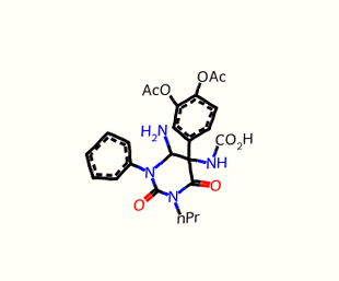 CCCN1C(=O)N(c2ccccc2)C(N)C(NC(=O)O)(c2ccc(OC(C)=O)c(OC(C)=O)c2)C1=O